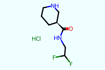 Cl.O=C(NCC(F)F)[C@H]1CCCNC1